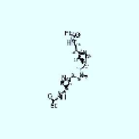 CCC(=O)NCCc1cn(CCN(C)CCn2cc(CCNC(=O)CC)nn2)nn1